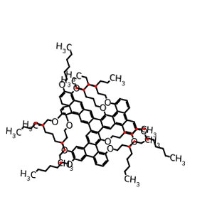 CCCCCCOC1=CCC23C=CC(OCCCCCC)=C(OCCCCCC)C2=c2cc4c5cc6c7cc(OCCCCCC)c(OCCCCCC)cc7c7cccc(OCCCCCC)c7c6c(OCCCCCC)c5c5cc6c7cc(OCCCCCC)c(OCCCCCC)cc7c7cccc(OCCCCCC)c7c6c(OCCCCCC)c5c4cc2=CC3=C1OCCCCCC